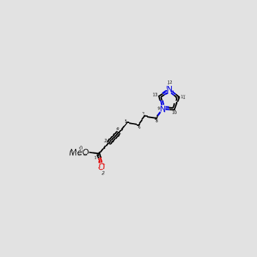 COC(=O)C#CCCCCn1ccnc1